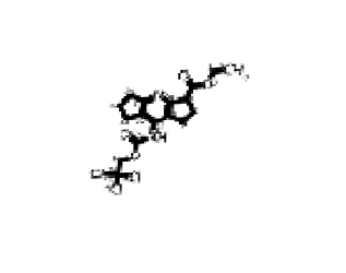 CCOC(=O)C1CCc2c1nc1c(c2NC(=O)OCC(Cl)(Cl)Cl)CCC1